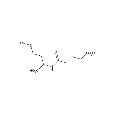 CCOC(=O)CSCC(=O)NC(CCSC(C)=O)C(=O)O